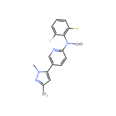 Cn1nc(C(F)(F)F)cc1-c1ccc(N(C=O)c2c(F)cccc2F)nc1